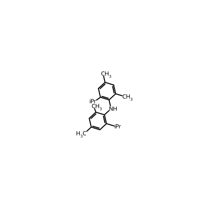 Cc1cc(C)c(Nc2c(C)cc(C)cc2C(C)C)c(C(C)C)c1